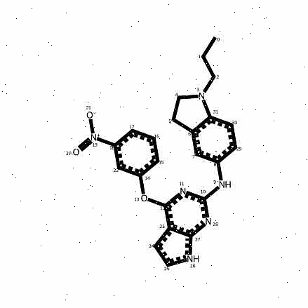 CCCN1CCc2cc(Nc3nc(Oc4cccc([N+](=O)[O-])c4)c4cc[nH]c4n3)ccc21